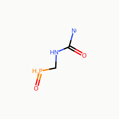 [N]C(=O)NC[PH2]=O